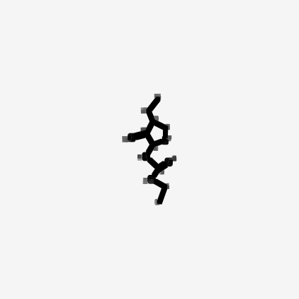 CCOC(=O)OC1SCC(CC)C1=O